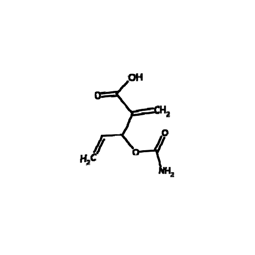 C=CC(OC(N)=O)C(=C)C(=O)O